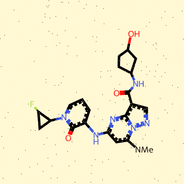 CNc1cc(Nc2cccn(C3C[C@H]3F)c2=O)nc2c(C(=O)NC3CCC(O)C3)cnn12